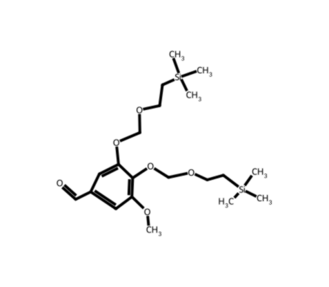 COc1cc(C=O)cc(OCOCC[Si](C)(C)C)c1OCOCC[Si](C)(C)C